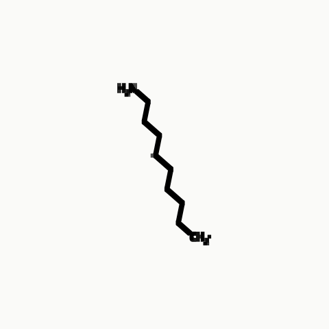 [CH2]CCCC[CH]CCCN